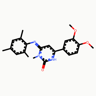 COc1ccc(-c2c/c(=N/c3c(C)cc(C)cc3C)n(C)c(=O)[nH]2)cc1OC